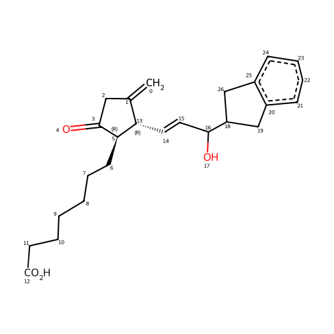 C=C1CC(=O)[C@H](CCCCCCC(=O)O)[C@H]1C=CC(O)C1Cc2ccccc2C1